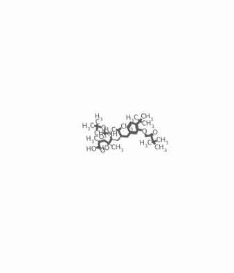 CC(C[C@](C)(O)[C@H](C[C@H](Cc1ccc(C(C)(C)C)c(OCC(=O)C(C)(C)C)c1)C(C)C)NC(=O)OC(C)(C)C)C(=O)O